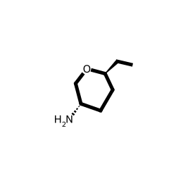 CC[C@H]1CC[C@H](N)CO1